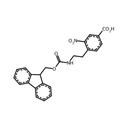 O=C(NCCc1ccc(C(=O)O)cc1[N+](=O)[O-])OCC1c2ccccc2-c2ccccc21